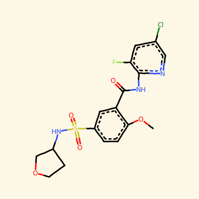 COc1ccc(S(=O)(=O)NC2CCOC2)cc1C(=O)Nc1ncc(Cl)cc1F